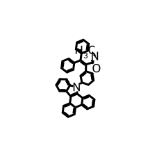 C/N=C1/OC2=CCC(n3c4ccccc4c4c5ccccc5c5ccccc5c43)C=C2C1=C(c1ccccc1)c1ccccc1